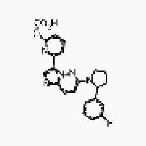 O=C(O)Oc1cccc(-c2cnc3ccc(N4CCCC4c4cccc(F)c4)nn23)n1